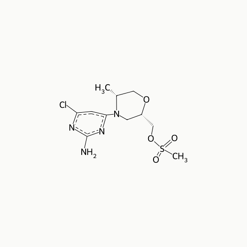 C[C@@H]1CO[C@H](COS(C)(=O)=O)CN1c1cc(Cl)nc(N)n1